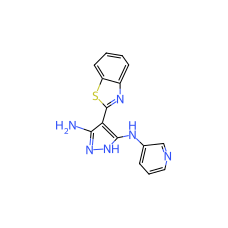 Nc1n[nH]c(Nc2cccnc2)c1-c1nc2ccccc2s1